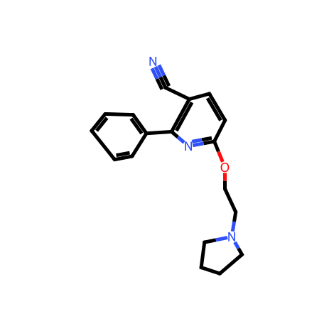 N#Cc1ccc(OCCN2CCCC2)nc1-c1ccccc1